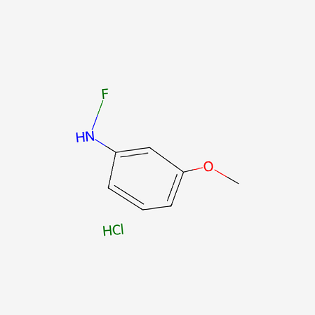 COc1cccc(NF)c1.Cl